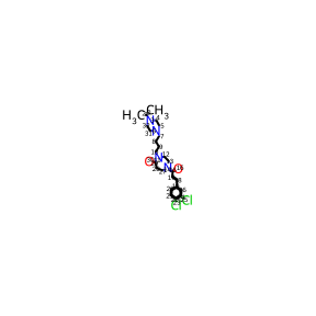 CC(C)N1CCN(CCCCN2CCN(C(=O)/C=C/c3ccc(Cl)c(Cl)c3)CCC2=O)CC1